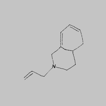 C=CCN1CCC2CC=CC=C2C1